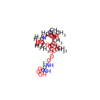 CC[C@H]1OC(=O)[C@H](C)[C@@H](O[C@H]2C[C@@](C)(OC)[C@@H](OC(=O)CCOCCOCCNc3cc4[nH]cc(C(=O)O)c(=O)c4cc3F)[C@H](C)O2)[C@H](C)[C@@H](O[C@@H]2O[C@H](C)C[C@H](N(C)C)[C@H]2O)[C@](C)(O)C[C@@H](C)CN(C)[C@H](C)[C@@H](O)[C@]1(C)O